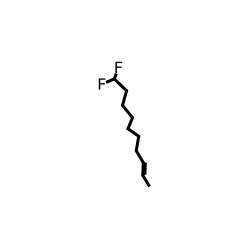 CC=CCCCCCCC(F)F